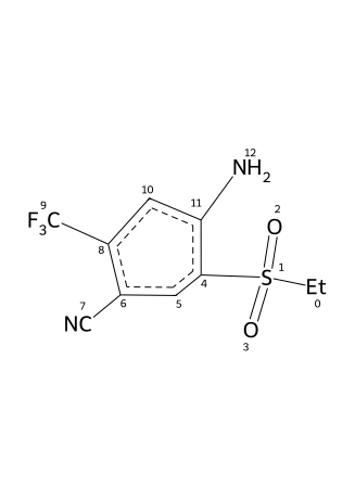 CCS(=O)(=O)c1cc(C#N)c(C(F)(F)F)cc1N